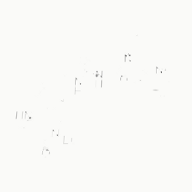 CCN1Cc2cc(CNC(=O)NCC(=O)N3CCCC3c3ccccn3)ccc2NCCC1=O